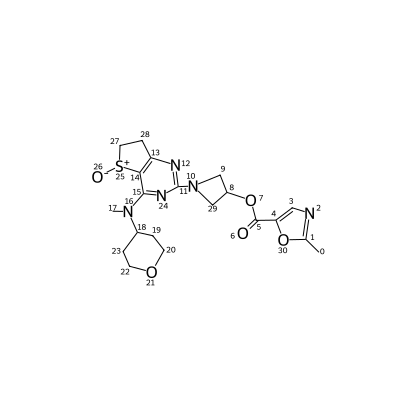 Cc1ncc(C(=O)OC2CN(c3nc4c(c(N(C)C5CCOCC5)n3)[S+]([O-])CC4)C2)o1